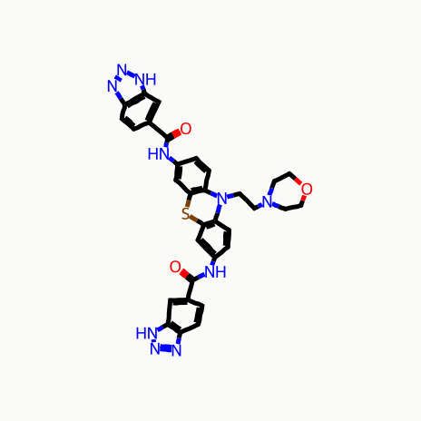 O=C(Nc1ccc2c(c1)Sc1cc(NC(=O)c3ccc4nn[nH]c4c3)ccc1N2CCN1CCOCC1)c1ccc2nn[nH]c2c1